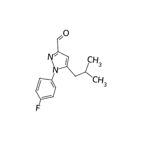 CC(C)Cc1cc(C=O)nn1-c1ccc(F)cc1